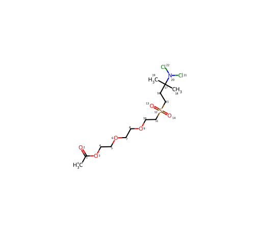 CC(=O)OCCOCCOCCS(=O)(=O)CCC(C)(C)N(Cl)Cl